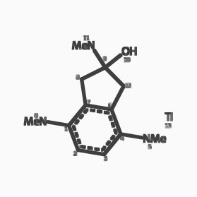 CNc1ccc(NC)c2c1CC(O)(NC)C2.[Ti]